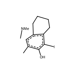 CNC.Cc1cc2c(c(I)c1O)CCCC2